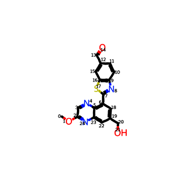 COc1cnc2c(-c3nc4ccc(C=O)cc4s3)cc(CO)cc2n1